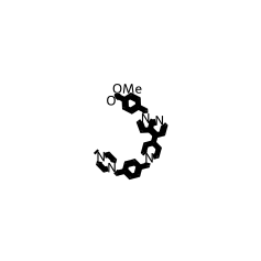 COC(=O)c1ccc(Cn2ccc3c(C4CCN(Cc5ccc(CN6CCN(C)CC6)cc5)CC4)ccnc32)cc1